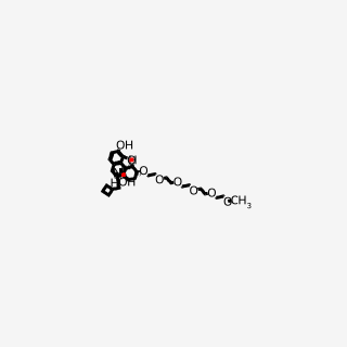 COCCOCCOCCOCCOCCO[C@H]1CC[C@@]2(O)[C@H]3Cc4ccc(O)c5c4[C@@]2(CCN3CC2CCC2)[C@H]1O5